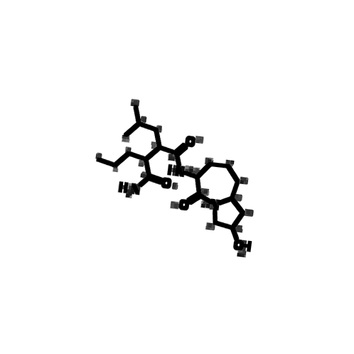 CCCC(C(N)=O)C(CC(C)C)C(=O)NC1CCCC2CC(O)CN2C1=O